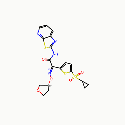 O=C(Nc1nc2cccnc2s1)/C(=N/O[C@@H]1CCOC1)c1ccc(S(=O)(=O)C2CC2)s1